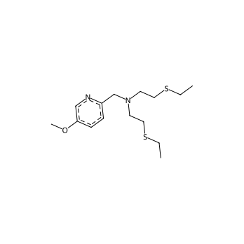 CCSCCN(CCSCC)Cc1ccc(OC)cn1